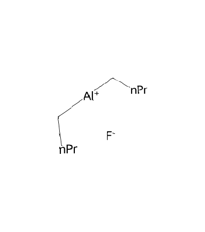 CCC[CH2][Al+][CH2]CCC.[F-]